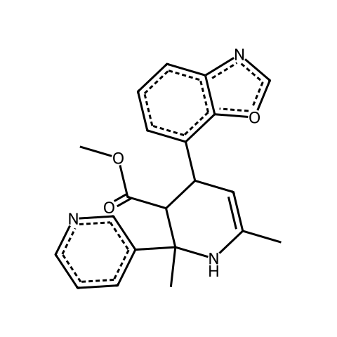 COC(=O)C1C(c2cccc3ncoc23)C=C(C)NC1(C)c1cccnc1